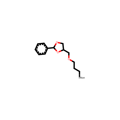 CCCCCCCCCCCCOCC1COC(c2ccccc2)O1